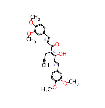 C#CC/C(C(=O)/C=C/c1ccc(OC)c(OC)c1)=C(O)\C=C\c1ccc(OC)c(OC)c1